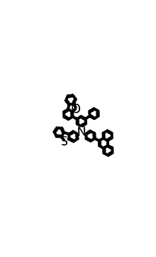 c1ccc(-c2cc(-c3cccc4c3oc3ccccc34)cc(N(c3ccc(-c4cc5ccccc5c5ccccc45)cc3)c3ccc4sc5ccccc5c4c3)c2)cc1